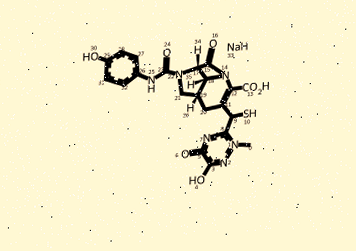 Cn1nc(O)c(=O)nc1C(S)C1=C(C(=O)O)N2C(=O)[C@@H]3[C@H]2[C@H](C1)CN3C(=O)Nc1ccc(O)cc1.[NaH]